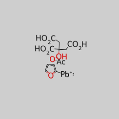 CC(=O)[O-].O=C(O)CC(O)(CC(=O)O)C(=O)O.[Pb+][c]1ccco1